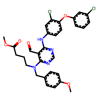 COC(=O)CCCN(Cc1ccc(OC)cc1)c1ncnc(Nc2ccc(Oc3cccc(Cl)c3)c(Cl)c2)c1C=O